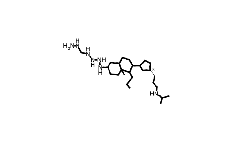 CCCC1C(C2CC[C@H](CCCNC(C)C)C2)CCC2CC(NNNNCNN)CCC21C